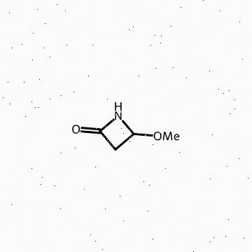 COC1CC(=O)N1